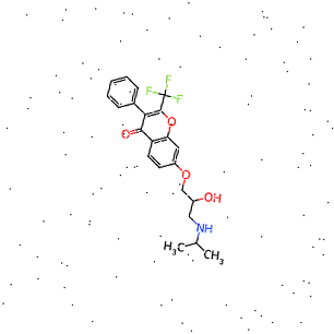 CC(C)NCC(O)COc1ccc2c(=O)c(-c3ccccc3)c(C(F)(F)F)oc2c1